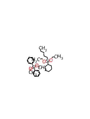 CCCCC[Si](OCC)(OCC)C1CCCCC1.CO[Si](OC)(c1ccccc1)c1ccccc1